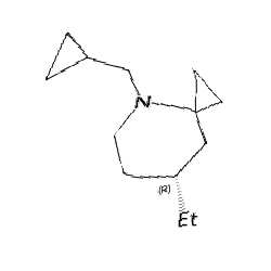 CC[C@@H]1CCN(CC2CC2)C2(CC2)C1